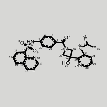 O=C(c1ccc(NS(=O)(=O)c2cccc3cccnc23)cc1)N1CC(O)(c2ncccc2OC(F)F)C1